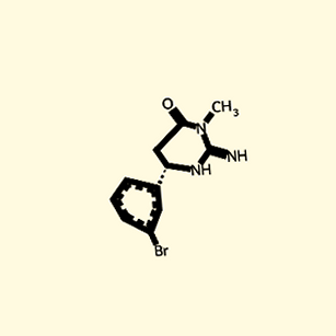 CN1C(=N)N[C@H](c2cccc(Br)c2)CC1=O